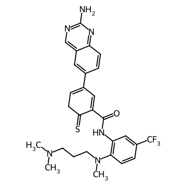 CN(C)CCCN(C)c1ccc(C(F)(F)F)cc1NC(=O)C1=CC(c2ccc3nc(N)ncc3c2)=CCC1=S